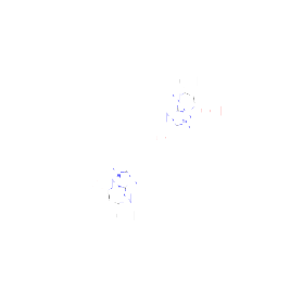 Cc1cc(O)n2nc(COCCOCc3nc4nc(C)cc(O)n4n3)nc2n1